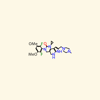 COc1cc(OC)c(F)c(N2CC3=C(c4cc(CN5CCN(C)CC5)[nH]c4NC3)N(C3CC3)C2=O)c1F